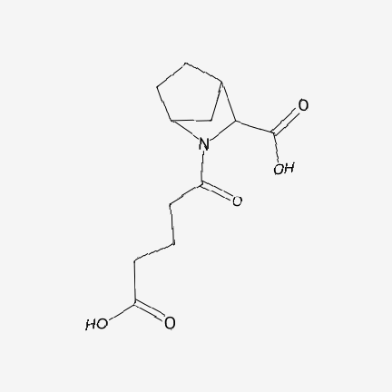 O=C(O)CCCC(=O)N1C2CCC(C2)C1C(=O)O